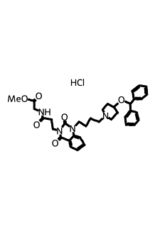 COC(=O)CNC(=O)CCn1c(=O)c2ccccc2n(CCCCN2CCC(OC(c3ccccc3)c3ccccc3)CC2)c1=O.Cl